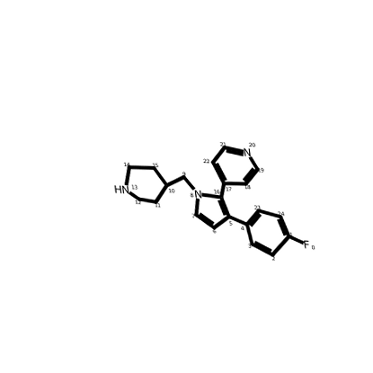 Fc1ccc(-c2ccn(CC3CCNCC3)c2-c2ccncc2)cc1